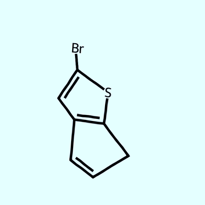 Brc1cc2c(s1)CC=C2